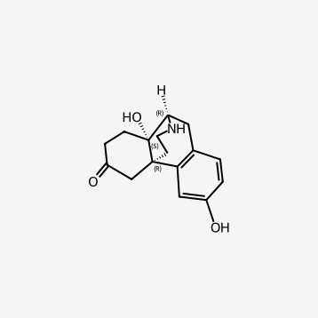 O=C1CC[C@@]2(O)[C@H]3Cc4ccc(O)cc4[C@@]2(CCN3)C1